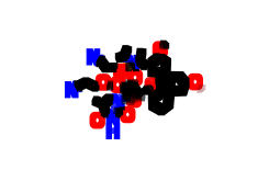 COc1ccc(C(OC[C@H]2O[C@@H](n3cc(C)c(=O)[nH]c3=O)[C@H](OCOCCC#N)[C@@H]2OP(OCCC#N)N(C(C)C)C(C)C)(c2ccccc2)c2ccc(OC)cc2)cc1